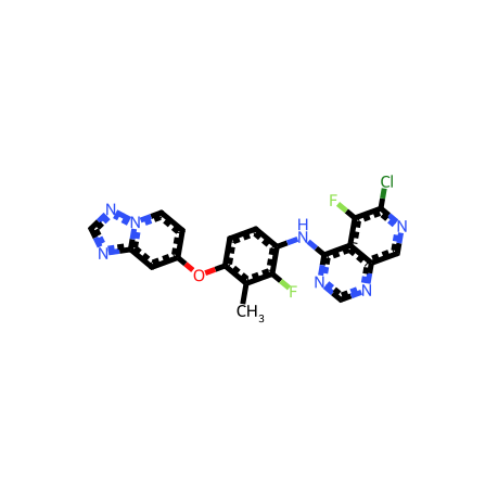 Cc1c(Oc2ccn3ncnc3c2)ccc(Nc2ncnc3cnc(Cl)c(F)c23)c1F